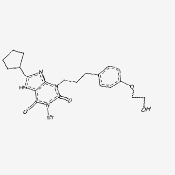 CCCn1c(=O)c2[nH]c(C3CCCC3)nc2n(CCCc2ccc(OCCO)cc2)c1=O